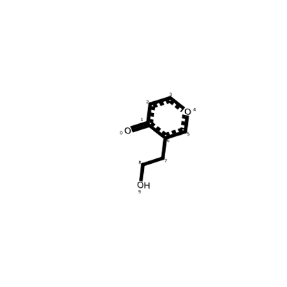 O=c1ccocc1CCO